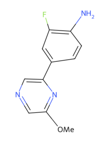 COc1cncc(-c2ccc(N)c(F)c2)n1